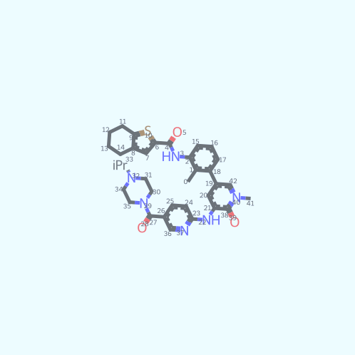 Cc1c(NC(=O)c2cc3c(s2)CCCC3)cccc1-c1cc(Nc2ccc(C(=O)N3CCN(C(C)C)CC3)cn2)c(=O)n(C)c1